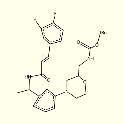 CC(NC(=O)/C=C/c1ccc(F)c(F)c1)c1cccc(N2CCOC(CNC(=O)OC(C)(C)C)C2)c1